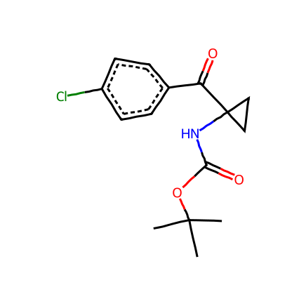 CC(C)(C)OC(=O)NC1(C(=O)c2ccc(Cl)cc2)CC1